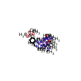 CO[Si](OC)(OC)c1ccc(CN(C)P(=N[PH](N=P(C)(C)C)(N=P(C)(N(C)C)N(C)C)N=P(C)(N(C)C)N(C)C)(N(C)C)N(C)C)cc1